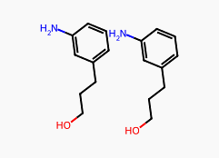 Nc1cccc(CCCO)c1.Nc1cccc(CCCO)c1